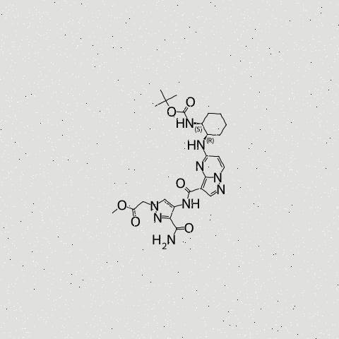 COC(=O)Cn1cc(NC(=O)c2cnn3ccc(N[C@@H]4CCCC[C@@H]4NC(=O)OC(C)(C)C)nc23)c(C(N)=O)n1